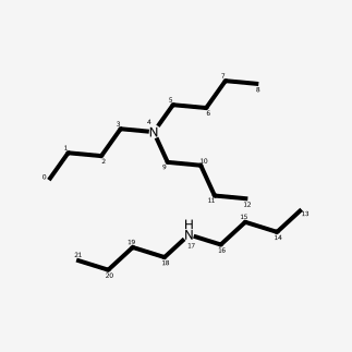 CCCCN(CCCC)CCCC.CCCCNCCCC